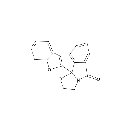 O=C1c2ccccc2C2(c3cc4ccccc4o3)OCCN12